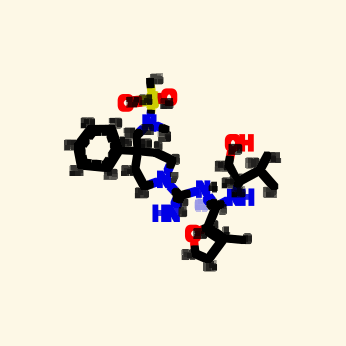 CC1=C(/C(=N\C(=N)N2CCC(CN(C)S(C)(=O)=O)(c3ccccc3)CC2)N[C@@H](CO)C(C)C)OCC1